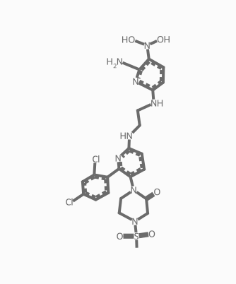 CS(=O)(=O)N1CCN(c2ccc(NCCNc3ccc(N(O)O)c(N)n3)nc2-c2ccc(Cl)cc2Cl)C(=O)C1